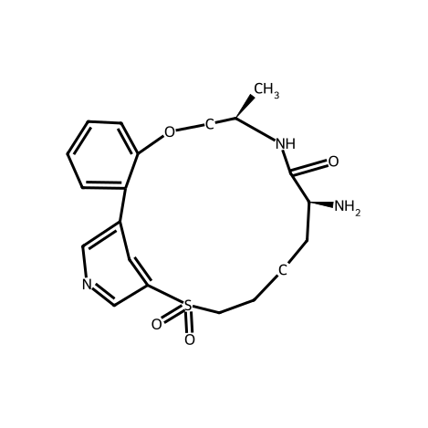 C[C@@H]1COc2ccccc2-c2cncc(c2)S(=O)(=O)CCCC[C@H](N)C(=O)N1